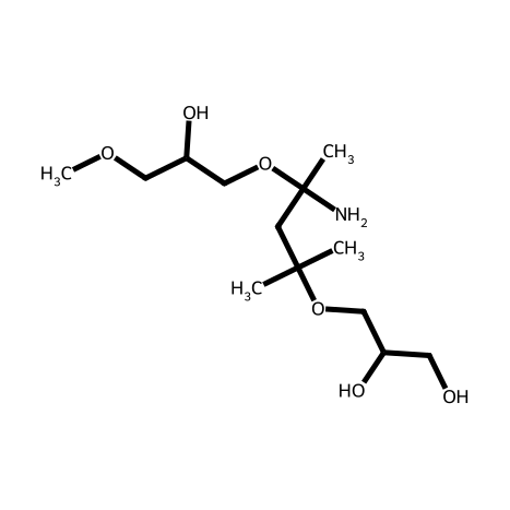 COCC(O)COC(C)(N)CC(C)(C)OCC(O)CO